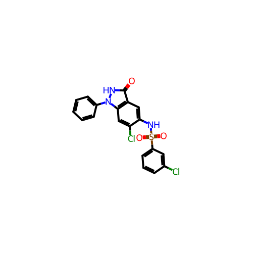 O=c1[nH]n(-c2ccccc2)c2cc(Cl)c(NS(=O)(=O)c3cccc(Cl)c3)cc12